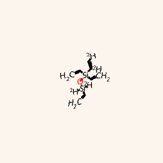 [2H]C=C([2H])[Si](C=C)(C=C)O[Si]([2H])([2H])C=C